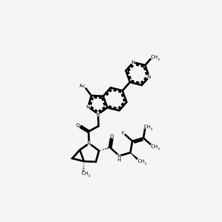 CC(=O)c1nn(CC(=O)N2C3C[C@]3(C)C[C@H]2C(=O)N[C@H](C)C(F)=C(C)C)c2ccc(-c3cnc(C)nc3)cc12